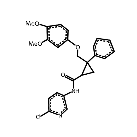 COc1ccc(OCC2(c3ccccc3)CC2C(=O)Nc2ccc(Cl)nc2)cc1OC